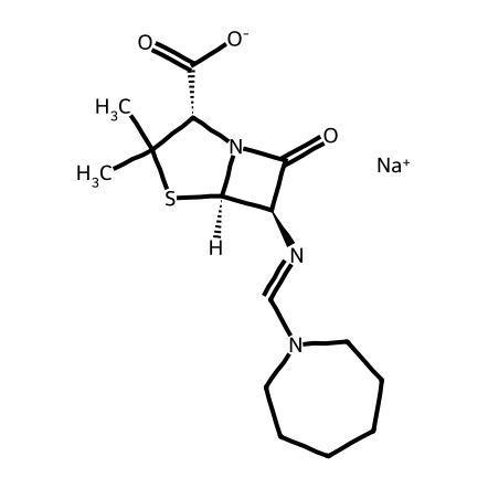 CC1(C)S[C@@H]2[C@H](N=CN3CCCCCC3)C(=O)N2[C@H]1C(=O)[O-].[Na+]